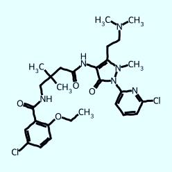 CCOc1ccc(Cl)cc1C(=O)NCC(C)(C)CC(=O)Nc1c(CCN(C)C)n(C)n(-c2cccc(Cl)n2)c1=O